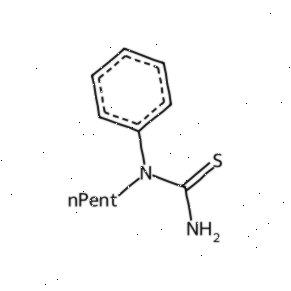 CCCCCN(C(N)=S)c1ccccc1